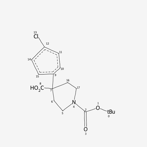 CC(C)(C)OC(=O)N1CCC(C(=O)O)(c2ccc(Cl)cc2)CC1